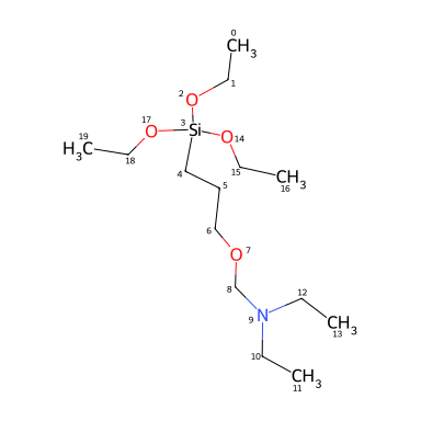 CCO[Si](CCCOCN(CC)CC)(OCC)OCC